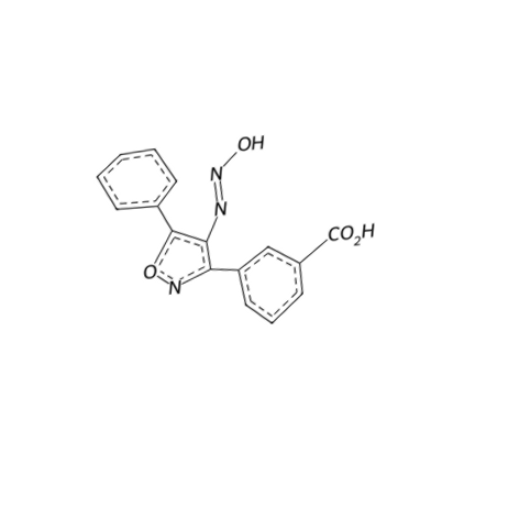 O=C(O)c1cccc(-c2noc(-c3ccccc3)c2/N=N/O)c1